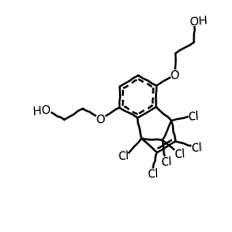 OCCOc1ccc(OCCO)c2c1C1(Cl)C(Cl)=C(Cl)C2(Cl)C1(Cl)Cl